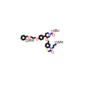 COCCCN1C(=O)CSc2ccc(COC3CN(C(=O)OC(C)(C)C)CCC3c3ccc(OCCCOCc4ccccc4OC)cc3)cc21